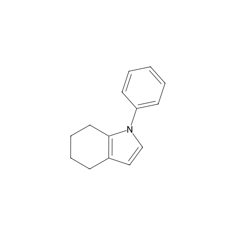 c1ccc(-n2ccc3c2CCCC3)cc1